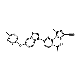 CC(=O)c1ccc(-n2cnc3cc(Oc4ccc(C)nn4)ccc32)nc1-n1nc(C#N)cc1C